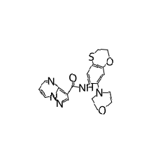 O=C(Nc1cc2c(cc1N1CCOCC1)OCCS2)c1cnn2cccnc12